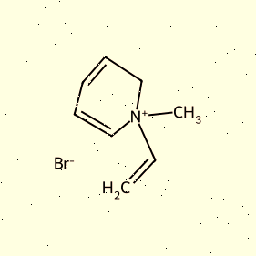 C=C[N+]1(C)C=CC=CC1.[Br-]